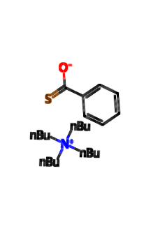 CCCC[N+](CCCC)(CCCC)CCCC.[O-]C(=S)c1ccccc1